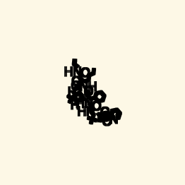 C=CCNC(=O)C(=O)C(CCCC)NC(=O)[C@@H]1[C@@H]2[C@H](CN1C(=O)[C@@H](NC(=O)N[C@H](CN(C)S(=O)(=O)c1ccccn1)C(C)(C)C)C1CCCCC1)C2(C)C